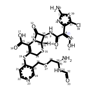 Nc1nc(/C(=N/O)C(=O)N[C@@H]2C(=O)N3C(C(=O)O)=C(Sc4ccncc4CSC[C@H](N)NC=O)CS[C@@H]23)c(Cl)s1